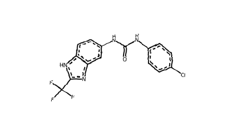 O=C(Nc1ccc(Cl)cc1)Nc1ccc2[nH]c(C(F)(F)F)nc2c1